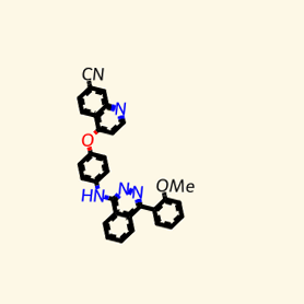 COc1ccccc1-c1nnc(Nc2ccc(Oc3ccnc4cc(C#N)ccc34)cc2)c2ccccc12